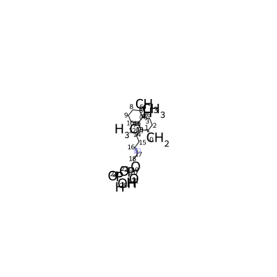 C=C1CC[C@@H]2C(C)(C)CCC[C@@]2(C)[C@@H]1CC/C=C/CO[PH](=O)O[PH](=O)O